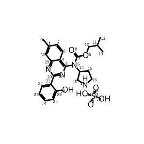 Cc1ccc2c(N(C(=O)OCC(C)C)C3CCNC3)nc(-c3ccccc3O)nc2c1.O=S(=O)(O)O